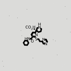 O=C(O)C[C@@]1(c2ccc(C(=O)NC3CCCCC3)c(SCCc3cnccn3)n2)CCCNC1